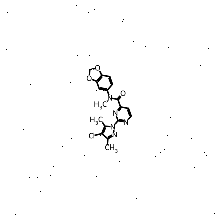 Cc1nn(-c2nccc(C(=O)N(C)c3ccc4c(c3)OCO4)n2)c(C)c1Cl